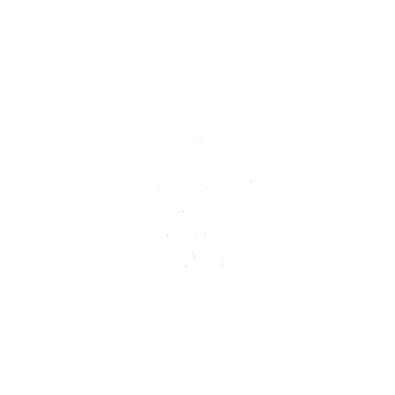 C#Cc1ccc(-c2ccc(-c3cccnc3-c3cc(-c4ccccc4)c(C#C)c(-c4ccccn4)c3)cc2C#C)nc1